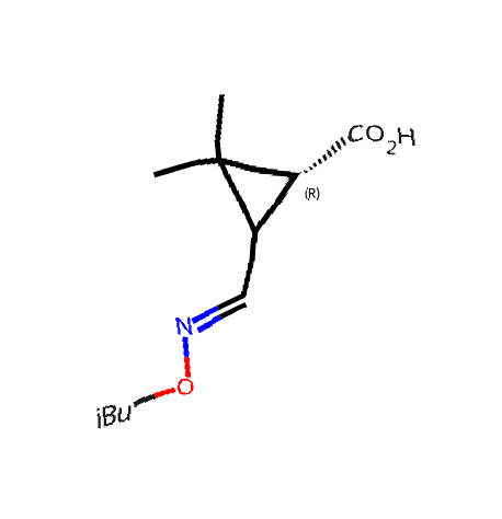 CCC(C)ON=CC1[C@@H](C(=O)O)C1(C)C